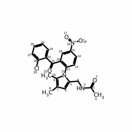 CC(=O)NCc1cc(C)c(C)n1-c1ccc([N+](=O)[O-])cc1C(=O)c1ccccc1Cl